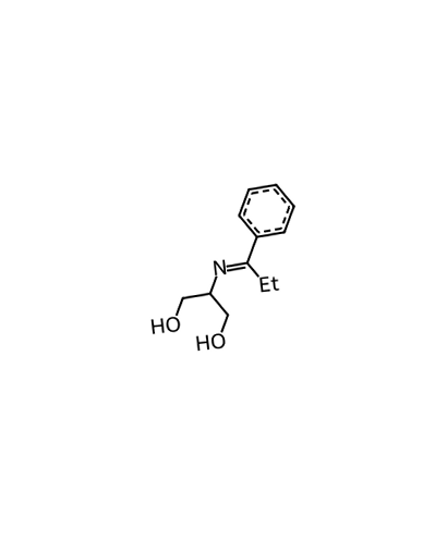 CC/C(=N\C(CO)CO)c1ccccc1